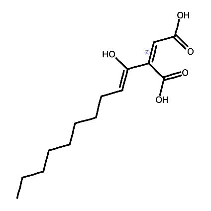 CCCCCCCCC=C(O)/C(=C/C(=O)O)C(=O)O